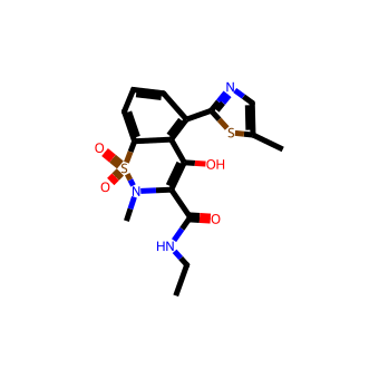 CCNC(=O)C1=C(O)c2c(-c3ncc(C)s3)cccc2S(=O)(=O)N1C